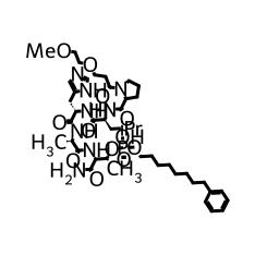 COCCOCCC(=O)N1CCCC1C(=O)N[C@@H](CC(C)C)C(=O)N[C@@H](Cc1cnc[nH]1)C(=O)N[C@@H](C)C(=O)N[C@H](C(N)=O)[C@@H](C)OP(=O)(O)OCCCCCCCCc1ccccc1